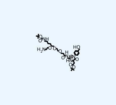 CC(C)(C)OC(=O)CC(NC(=O)CNC(=O)CCOCCOCC(CCCCNC(=O)OC(C)(C)C)OCCN)C(=O)Nc1ccc(CO)cc1